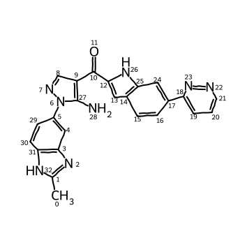 Cc1nc2cc(-n3ncc(C(=O)c4cc5ccc(-c6cccnn6)cc5[nH]4)c3N)ccc2[nH]1